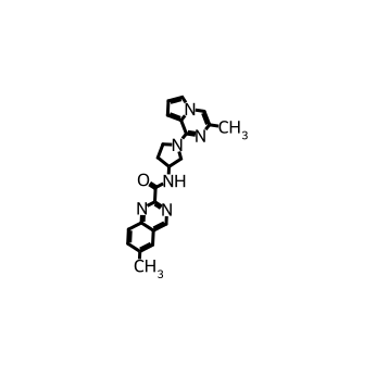 Cc1ccc2nc(C(=O)NC3CCN(c4nc(C)cn5cccc45)C3)ncc2c1